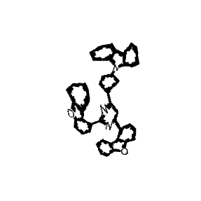 c1ccc2c(c1)oc1cccc(-c3cc(-c4ccc(-n5c6ccccc6c6ccccc65)cc4)nc(-c4cccc5oc6ccccc6c45)n3)c12